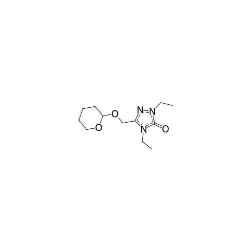 CCn1nc(COC2CCCCO2)n(CC)c1=O